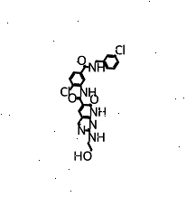 O=C(NCc1cccc(Cl)c1)c1ccc(Cl)c(NC(=O)c2cc3cnc(NCCO)nc3[nH]c2=O)c1